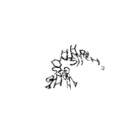 Cn1nccc1NNC(=S)NC1CCc2sc(NC(=O)C3CC3)c(S(=O)(=O)NCC3CC3)c2C1